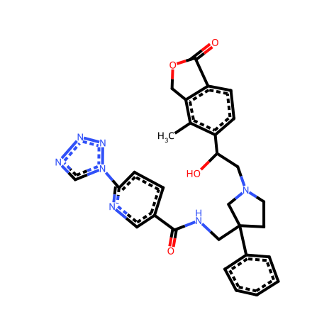 Cc1c(C(O)CN2CCC(CNC(=O)c3ccc(-n4cnnn4)nc3)(c3ccccc3)C2)ccc2c1COC2=O